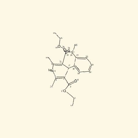 CCOC(=O)C1=C(C)NC(C)=C(C(=O)OCC)C1c1ccccc1[S+](C)[O-]